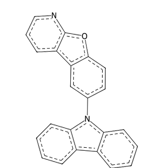 c1cnc2oc3ccc(-n4c5ccccc5c5ccccc54)cc3c2c1